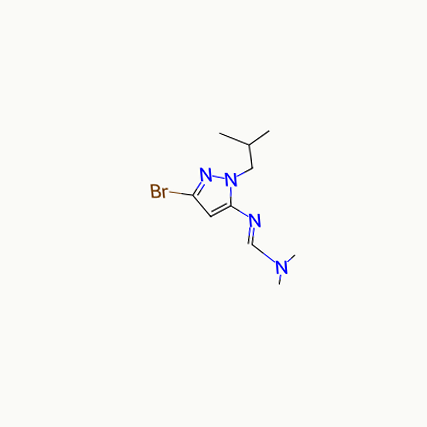 CC(C)Cn1nc(Br)cc1/N=C/N(C)C